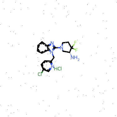 Cl.N[C@@H]1CN(c2nc3ccccc3n2Cc2ccc(Cl)cn2)CCC1(F)F